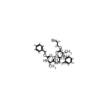 C[C@H](NC(=O)OCc1ccccc1)C(=O)N[C@@H](Cc1ccccc1)C(=O)N[C@@H](C)C(=O)OCCBr